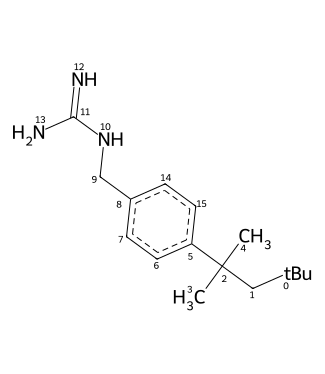 CC(C)(C)CC(C)(C)c1ccc(CNC(=N)N)cc1